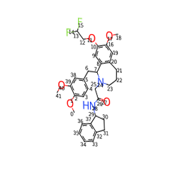 COc1ccc(CC2c3cc(OCC(F)F)c(OC)cc3CCCN2CC(=O)NC2CCc3ccccc32)cc1OC